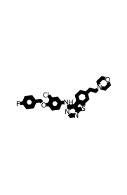 Fc1ccc(COc2ccc(Nc3ncnc4sc5c(c34)CCC(CCN3CCOCC3)C5)cc2Cl)cc1